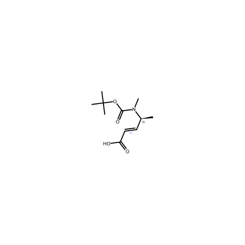 C[C@@H](/C=C/C(=O)O)N(C)C(=O)OC(C)(C)C